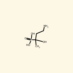 CC(O)(CCN)P(=O)(O)O